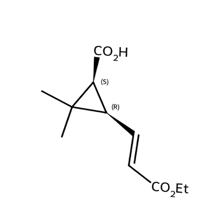 CCOC(=O)C=C[C@@H]1[C@H](C(=O)O)C1(C)C